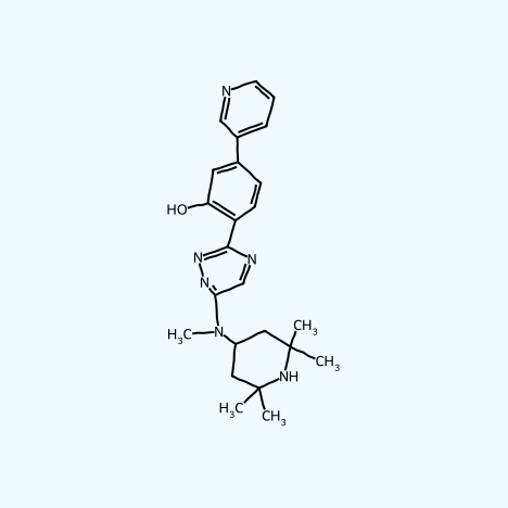 CN(c1cnc(-c2ccc(-c3cccnc3)cc2O)nn1)C1CC(C)(C)NC(C)(C)C1